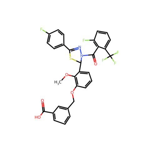 COc1c(OCc2cccc(C(=O)O)c2)cccc1C1SC(c2ccc(F)cc2)=NN1C(=O)c1c(F)cccc1C(F)(F)F